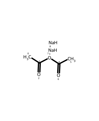 CC(=O)OC(C)=O.[NaH].[NaH]